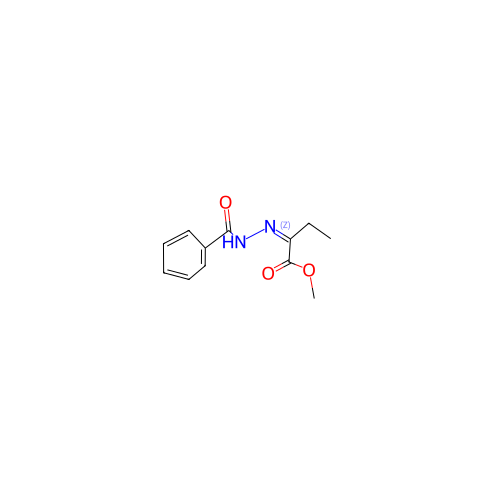 CC/C(=N/NC(=O)c1ccccc1)C(=O)OC